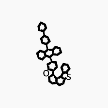 c1ccc(-c2ccc(-c3c4ccccc4c(-c4ccc5c(c4)oc4ccc6ccc7sc8ccccc8c7c6c45)c4ccccc34)cc2)cc1